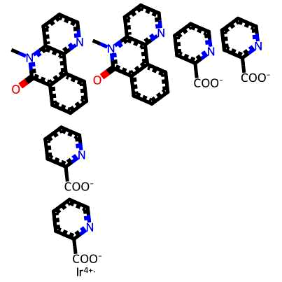 Cn1c(=O)c2ccccc2c2ncccc21.Cn1c(=O)c2ccccc2c2ncccc21.O=C([O-])c1ccccn1.O=C([O-])c1ccccn1.O=C([O-])c1ccccn1.O=C([O-])c1ccccn1.[Ir+4]